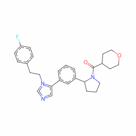 O=C(C1CCOCC1)N1CCCC1c1cccc(-c2cncn2CCc2ccc(F)cc2)c1